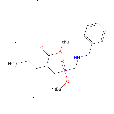 CC(C)(C)OC(=O)C(CCC(=O)O)CP(=O)(CNCc1ccccc1)OC(C)(C)C